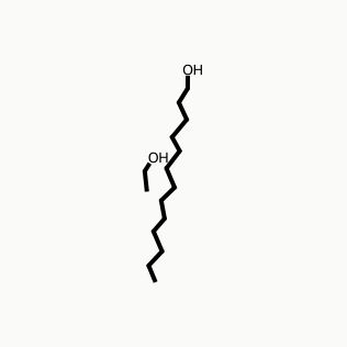 CCCCCCCCCCCCCO.CCO